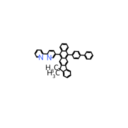 CC1(C)c2ccccc2-c2cc3c(-c4ccc(-c5ccccc5)cc4)c4ccccc4c(-c4ccc(-c5ccccn5)nc4)c3cc21